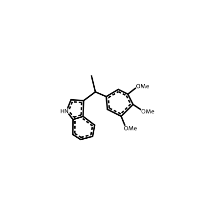 COc1cc(C(C)c2c[nH]c3ccccc23)cc(OC)c1OC